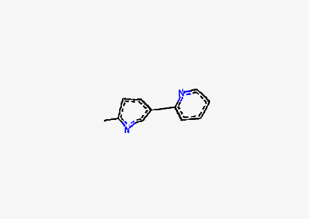 Cc1ccc(-c2ccccn2)[c]n1